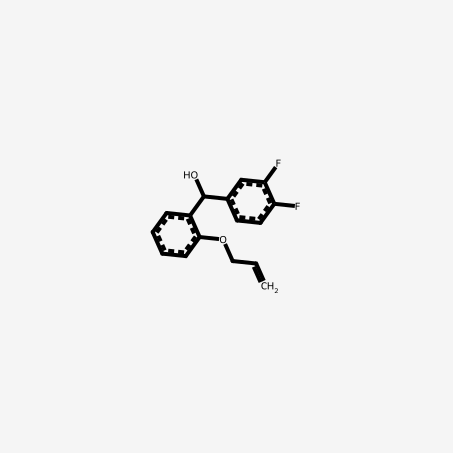 C=CCOc1ccccc1C(O)c1ccc(F)c(F)c1